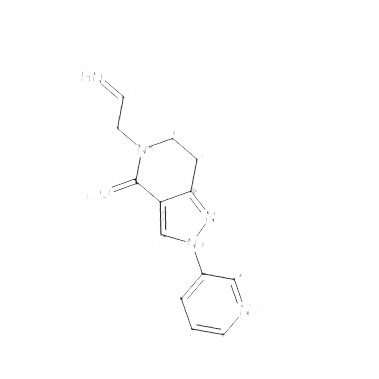 N=CCN1CCc2nn(-c3cccnc3)cc2C1=O